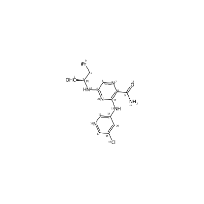 CC(C)C[C@H](C=O)Nc1cnc(C(N)=O)c(Nc2cncc(Cl)c2)n1